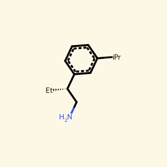 CC[C@@H](CN)c1cccc(C(C)C)c1